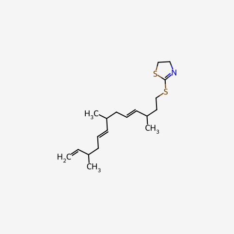 C=CC(C)C/C=C/C(C)C/C=C/C(C)CCSC1=NCCS1